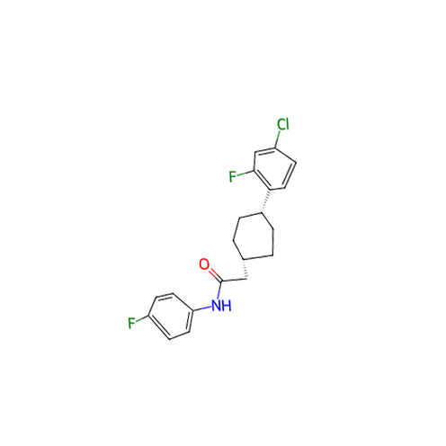 O=C(C[C@H]1CC[C@@H](c2ccc(Cl)cc2F)CC1)Nc1ccc(F)cc1